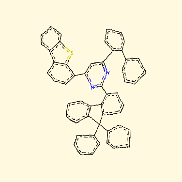 c1ccc(-c2ccccc2-c2cc(-c3cccc4c3sc3ccccc34)nc(-c3cccc4c3-c3ccccc3C4(c3ccccc3)c3ccccc3)n2)cc1